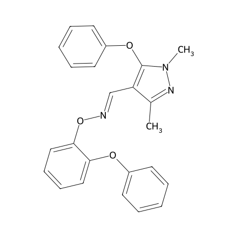 Cc1nn(C)c(Oc2ccccc2)c1C=NOc1ccccc1Oc1ccccc1